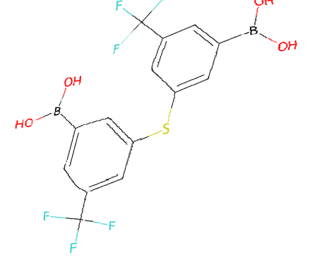 OB(O)c1cc(Sc2cc(B(O)O)cc(C(F)(F)F)c2)cc(C(F)(F)F)c1